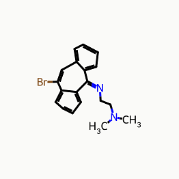 CN(C)CCN=c1c2ccccc2cc(Br)c2ccccc12